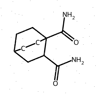 NC(=O)C1CC2CCC1(C(N)=O)CC2